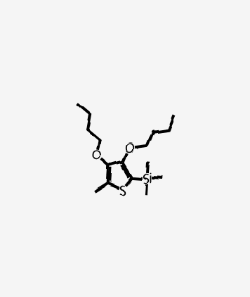 CCCCOc1c(C)sc([Si](C)(C)C)c1OCCCC